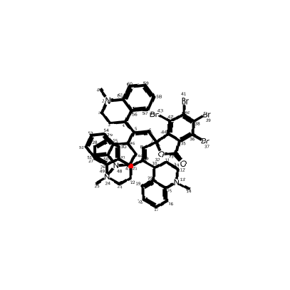 CN1CCC(C(=CC2(C=C(C3CCN(C)c4ccccc43)C3CCN(C)c4ccccc43)OC(=O)c3c(Br)c(Br)c(Br)c(Br)c32)C2CCN(C)c3ccccc32)c2ccccc21